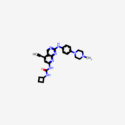 C#Cc1cc(NC(=O)NC2CCC2)nc2nc(Nc3ccc(N4CCN(C)CC4)cc3)ncc12